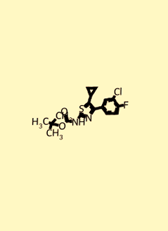 CC(C)(C)OC(=O)Nc1nc(-c2ccc(F)c(Cl)c2)c(C2CC2)s1